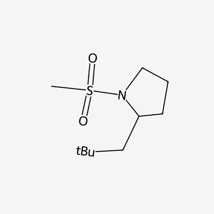 CC(C)(C)CC1CCCN1S(C)(=O)=O